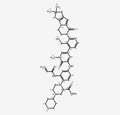 C=CC(=O)Nc1cc(Nc2nc(-c3ccnc(N4CCn5c(cc6c5CC(C)(C)C6)C4=O)c3CO)cn(C)c2=O)ccc1N1CCN(C2CCOCC2)C[C@@H]1C(=O)NC